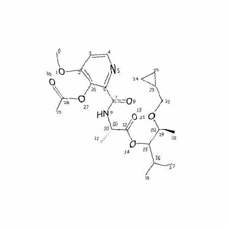 COc1ccnc(C(=O)N[C@@H](C)C(=O)OC(C(C)C)[C@H](C)OCC2CC2)c1OC(C)=O